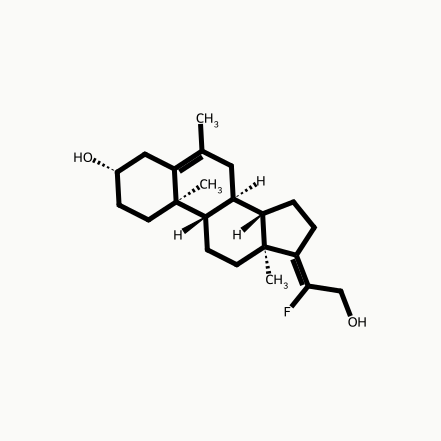 CC1=C2C[C@@H](O)CC[C@]2(C)[C@H]2CC[C@]3(C)C(=C(F)CO)CC[C@H]3[C@@H]2C1